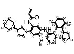 C=CC(=O)Nc1cc(Nc2cc(N3OCCC3c3cc(F)ccc3F)ncn2)c(OC)cc1N1CCC(N2CCOCC2)C1